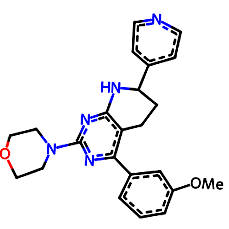 COc1cccc(-c2nc(N3CCOCC3)nc3c2CCC(c2ccncc2)N3)c1